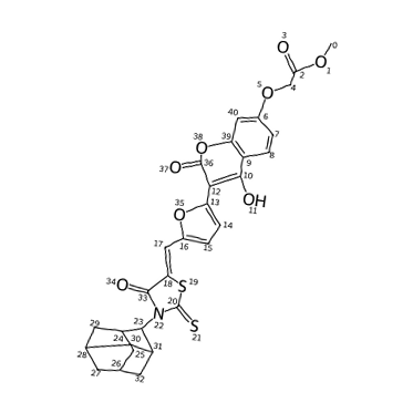 COC(=O)COc1ccc2c(O)c(-c3ccc(/C=C4\SC(=S)N(C5C6CC7CC(C6)CC5C7)C4=O)o3)c(=O)oc2c1